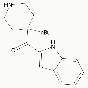 CCCCC1(C(=O)c2cc3ccccc3[nH]2)CCNCC1